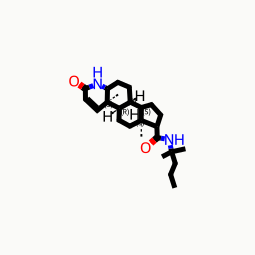 CCCC(C)(C)NC(=O)C1CC[C@H]2[C@@H]3CCC4NC(=O)C=C[C@]4(C)[C@@H]3CC[C@]12C